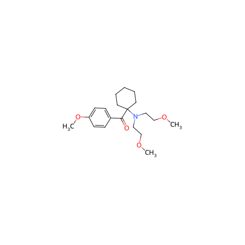 COCCN(CCOC)C1(C(=O)c2ccc(OC)cc2)CCCCC1